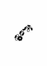 CCN1CCN(CCCN2CCN(c3cccc4c3OCCO4)CC2)C1=O